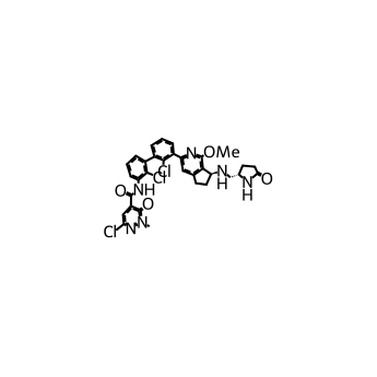 COc1nc(-c2cccc(-c3cccc(NC(=O)c4cc(Cl)nn(C)c4=O)c3Cl)c2Cl)cc2c1[C@@H](NC[C@@H]1CCC(=O)N1)CC2